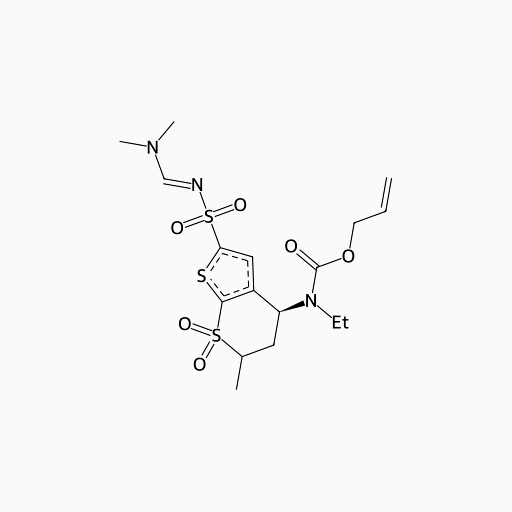 C=CCOC(=O)N(CC)[C@H]1CC(C)S(=O)(=O)c2sc(S(=O)(=O)/N=C/N(C)C)cc21